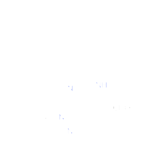 Cn1ncc2c1N=C(c1ccccc1)NC2C=O